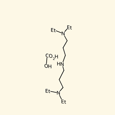 CCN(CC)CCCNCCCN(CC)CC.O=C(O)O